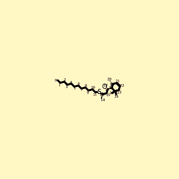 CCCCCCCCCCCCS[C@H](C)CC(=O)[C@H]1[C@H](C)C=CCC1(C)C